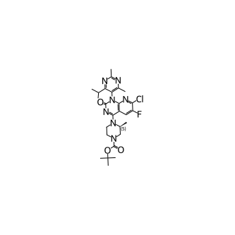 Cc1nc(C)c(-n2c(=O)nc(N3CCN(C(=O)OC(C)(C)C)C[C@@H]3C)c3cc(F)c(Cl)nc32)c(C(C)C)n1